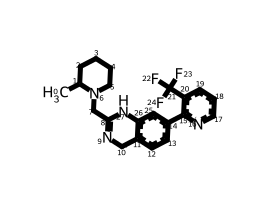 CC1CCCCN1CC1=N[CH]c2ccc(-c3ncccc3C(F)(F)F)cc2N1